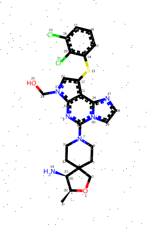 C[C@@H]1OCC2(CCN(c3nc4c(c(Sc5cccc(Cl)c5Cl)cn4CO)c4nccn34)CC2)[C@@H]1N